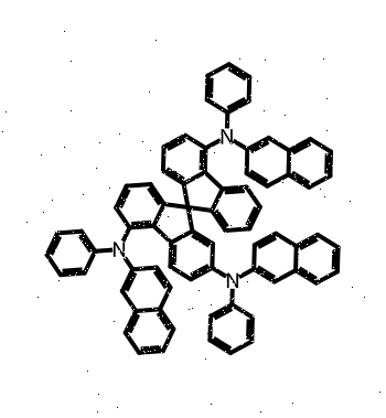 c1ccc(N(c2ccc3c(c2)C2(c4ccccc4-c4c(N(c5ccccc5)c5ccc6ccccc6c5)cccc42)c2cccc(N(c4ccccc4)c4ccc5ccccc5c4)c2-3)c2ccc3ccccc3c2)cc1